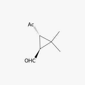 [CH2]C(=O)[C@H]1[C@H](C=O)C1(C)C